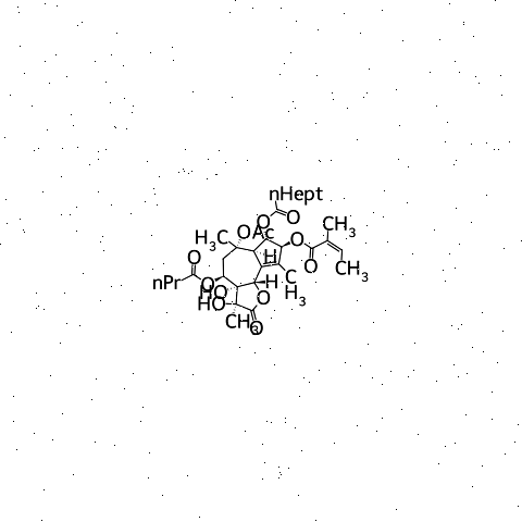 C/C=C(/C)C(=O)O[C@H]1C(C)=C2[C@H]([C@@H]1OC(=O)CCCCCCC)[C@@](C)(OC(C)=O)C[C@H](OC(=O)CCC)[C@@]1(O)[C@H]2OC(=O)[C@@]1(C)O